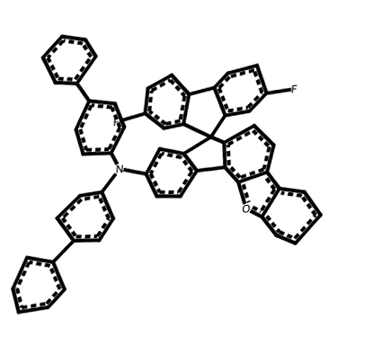 Fc1ccc2c(c1)C1(c3cc(F)ccc3-2)c2cc(N(c3ccc(-c4ccccc4)cc3)c3ccc(-c4ccccc4)cc3)ccc2-c2c1ccc1c2oc2ccccc21